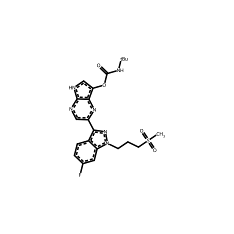 CC(C)(C)NC(=O)Oc1c[nH]c2ncc(-c3nn(CCCS(C)(=O)=O)c4cc(F)ccc34)nc12